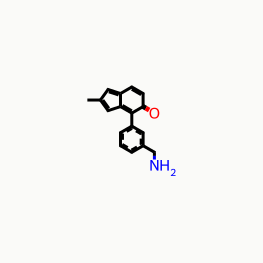 CC1=CC2=C(c3cccc(CN)c3)C(=O)C=CC2=C1